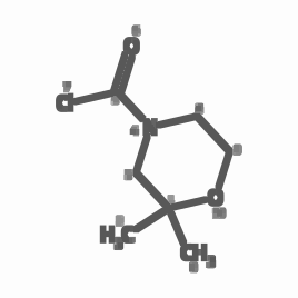 CC1(C)CN(C(=O)Cl)CCO1